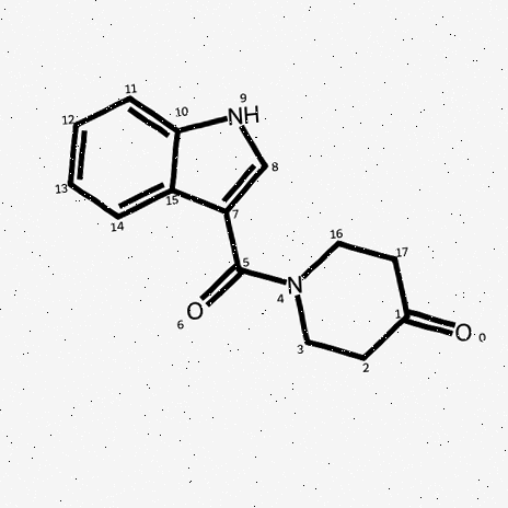 O=C1CCN(C(=O)c2c[nH]c3ccccc23)CC1